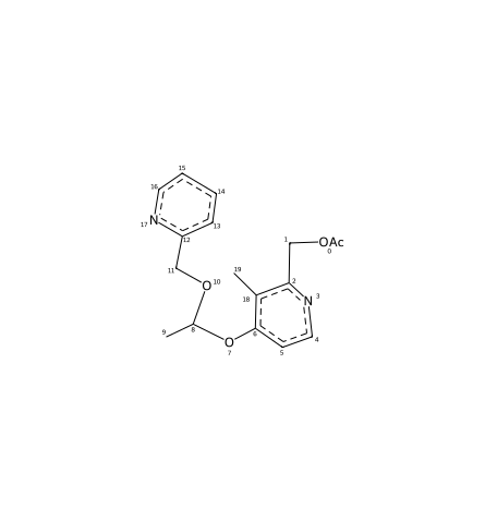 CC(=O)OCc1nccc(OC(C)OCc2ccccn2)c1C